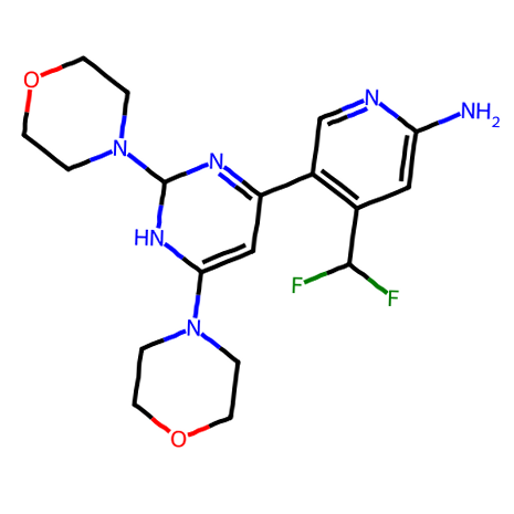 Nc1cc(C(F)F)c(C2=NC(N3CCOCC3)NC(N3CCOCC3)=C2)cn1